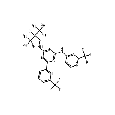 [2H]C([2H])([2H])C(O)(CNc1nc(Nc2ccnc(C(F)(F)F)c2)nc(-c2cccc(C(F)(F)F)n2)n1)C([2H])([2H])[2H]